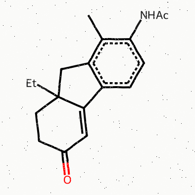 CCC12CCC(=O)C=C1c1ccc(NC(C)=O)c(C)c1C2